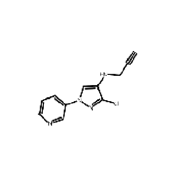 C#CCNc1cn(-c2cccnc2)nc1Cl